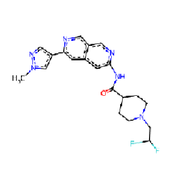 Cn1cc(-c2cc3cc(NC(=O)C4CCN(CC(F)F)CC4)ncc3cn2)cn1